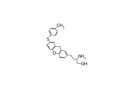 Cc1ccc(Sc2ccc3c(c2)Cc2cc(CCC(N)CO)ccc2O3)cc1